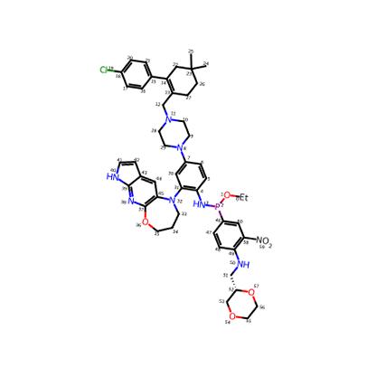 CCOP(Nc1ccc(N2CCN(CC3=C(c4ccc(Cl)cc4)CC(C)(C)CC3)CC2)cc1N1CCCOc2nc3[nH]ccc3cc21)c1ccc(NC[C@H]2COCCO2)c([N+](=O)[O-])c1